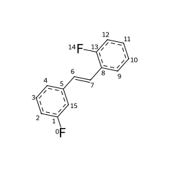 Fc1cccc(C=Cc2ccccc2F)c1